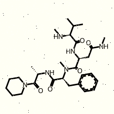 CNC(=O)C[C@H](NC(=O)[C@@H](NC)C(C)C)C(=O)N(C)[C@@H](Cc1ccccc1)C(=O)N[C@@H](C)C(=O)N1CCCCC1